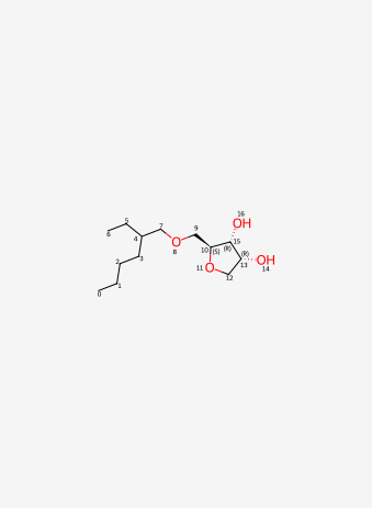 CCCCC(CC)COC[C@@H]1OC[C@@H](O)[C@H]1O